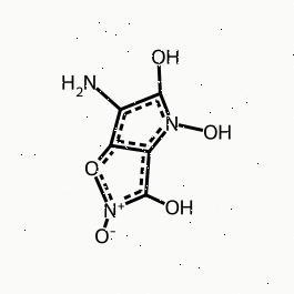 Nc1c(O)n(O)c2c(O)[n+]([O-])oc12